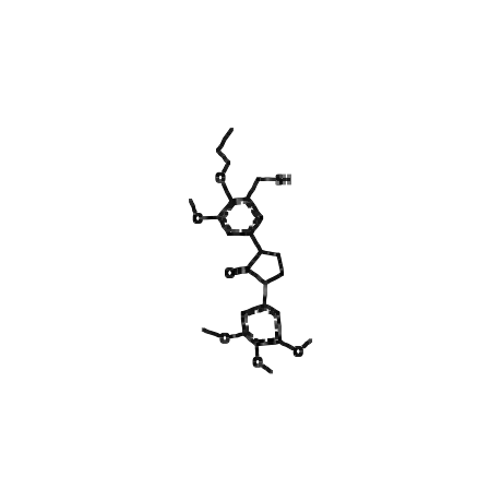 CCCOc1c(CS)cc(C2CCC(c3cc(OC)c(OC)c(OC)c3)C2=O)cc1OC